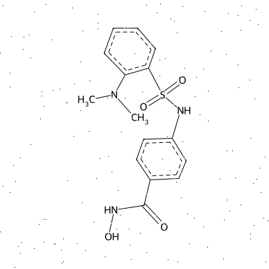 CN(C)c1ccccc1S(=O)(=O)Nc1ccc(C(=O)NO)cc1